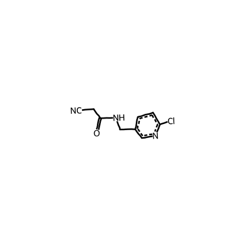 N#CCC(=O)NCc1ccc(Cl)nc1